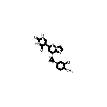 Cc1ccc([C@H]2C[C@@H]2c2cc(-c3c[nH]c(=O)[nH]c3=O)nn3ccnc23)cc1Cl